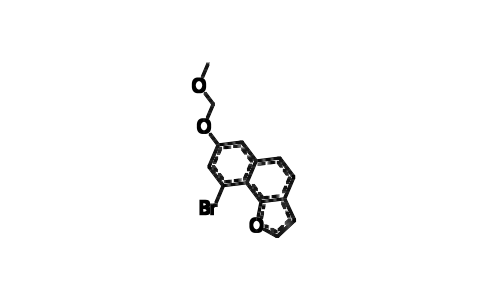 COCOc1cc(Br)c2c(ccc3ccoc32)c1